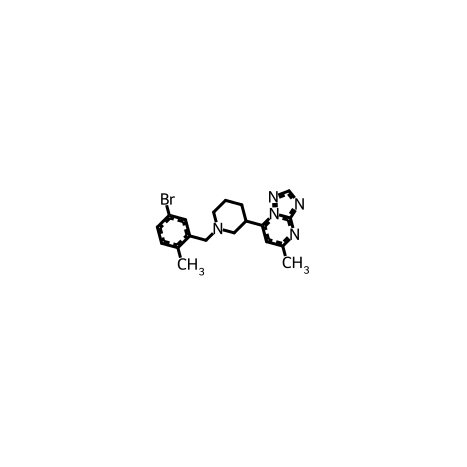 Cc1cc(C2CCCN(Cc3cc(Br)ccc3C)C2)n2ncnc2n1